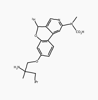 [2H]C1Oc2cc(OCC(C)(N)CC(C)C)ccc2-c2cc(N(C)C(=O)O)ncc21